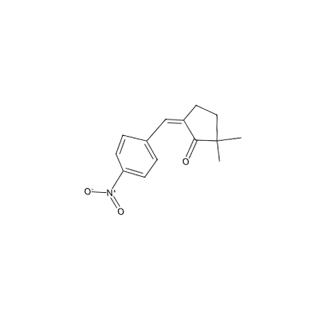 CC1(C)CCC(=Cc2ccc([N+](=O)[O-])cc2)C1=O